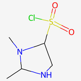 CC1NCC(S(=O)(=O)Cl)N1C